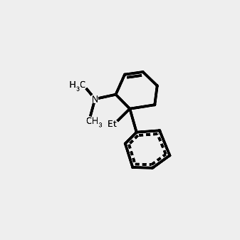 CCC1(c2ccccc2)CCC=CC1N(C)C